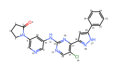 O=C1CCCN1c1cncc(Nc2ncc(Cl)c(-c3cc(-c4ccccc4)[nH]n3)n2)c1